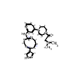 CN(C)CC(=O)N1CCCN(C2=CC(N/C3=N/C/C=C\C(c4cn[nH]c4)=N/CS3)=NC=CC2)CC1